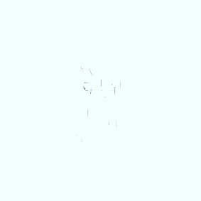 CC(C)CCC[C@@H](C)[C@H]1CC[C@H]2[C@@H]3C(O)CC4=CC(=O)CC[C@]4(C)[C@H]3CC[C@]12C